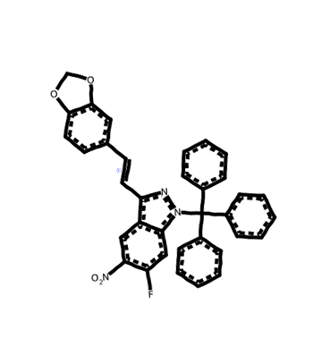 O=[N+]([O-])c1cc2c(/C=C/c3ccc4c(c3)OCO4)nn(C(c3ccccc3)(c3ccccc3)c3ccccc3)c2cc1F